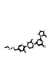 CCOOCc1cnc(N2CCN(c3cc(Cl)nc(N4CCCC4C)n3)C(C)C2)c(C)c1